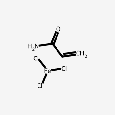 C=CC(N)=O.[Cl][Fe]([Cl])[Cl]